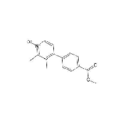 COC(=O)c1ccc(-c2cc[n+]([O-])c(C)c2C)cc1